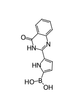 O=c1[nH]c(-c2ccc(B(O)O)[nH]2)nc2ccccc12